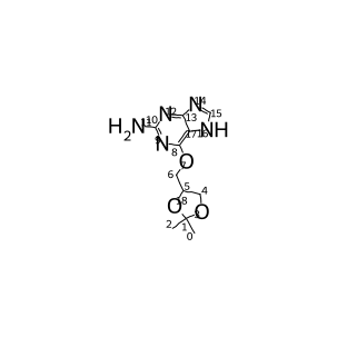 CC1(C)OCC(COc2nc(N)nc3nc[nH]c23)O1